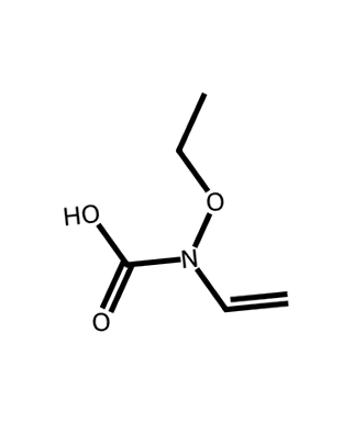 C=CN(OCC)C(=O)O